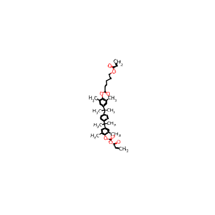 C=CC(=O)OCCCCCC(=O)Oc1c(C)cc(C(C)(C)c2ccc(C(C)(C)c3cc(C)c(OC(=O)OC(=O)C=C)c(C)c3)cc2)cc1C